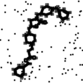 O=C(CCN1CCN(CC2CN(CC3CCN(Cc4ccccc4)CC3)C(=O)O2)CC1)OCc1ccccc1